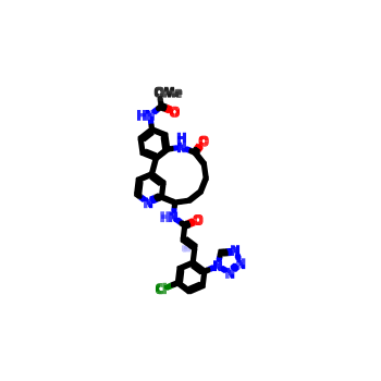 COC(=O)Nc1ccc2c(c1)NC(=O)CCCCC(NC(=O)/C=C/c1cc(Cl)ccc1-n1cnnn1)c1cc-2ccn1